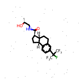 C[C@@H](O)CNC(=O)[C@@H]1CC[C@H]2c3ccc(C(F)(C(F)(F)F)C(F)(F)F)cc3CC[C@@H]12